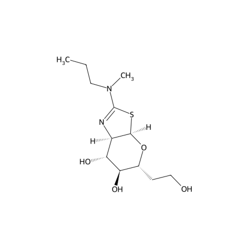 CCCN(C)C1=N[C@@H]2[C@@H](O)[C@H](O)[C@@H](CCO)O[C@@H]2S1